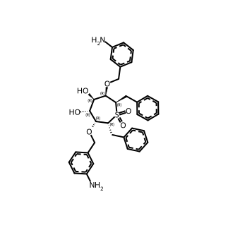 Nc1cccc(CO[C@@H]2[C@H](O)[C@@H](O)[C@@H](OCc3cccc(N)c3)[C@@H](Cc3ccccc3)S(=O)(=O)[C@@H]2Cc2ccccc2)c1